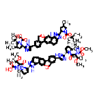 CC1CC(c2nc3ccc4cc5c(cc4c3[nH]2)OCc2cc(-c3cnc([C@@H]4CC(C)[C@@H](C(C)(C)C)N4C(=O)O)[nH]3)ccc2-5)N(C(=O)OC(C)(C)C)C1.COC(=O)N[C@H](C(=O)N1[C@@H](C)CC[C@H]1c1ncc(-c2ccc3c(c2)COc2cc4c(ccc5nc([C@@H]6CC[C@H](C)N6C(=O)[C@@H](NC(=O)O)[C@@H](C)OC)[nH]c54)cc2-3)[nH]1)[C@@H](C)OC